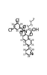 CCCCC(C(=O)O)N(c1ccc2cc(-c3cccnc3)ccc2c1)S(=O)(=O)c1cc(Cl)cc(Cl)c1